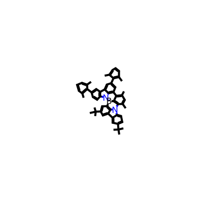 Cc1cccc(C)c1-c1ccc2c(c1)c1cc(-c3c(C)cccc3C)cc3c1n2B1c2c-3c(C)cc(C)c2-n2c3ccc(C(C)(C)C)cc3c3cc(C(C)(C)C)cc1c32